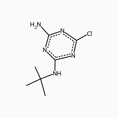 CC(C)(C)Nc1nc(N)nc(Cl)n1